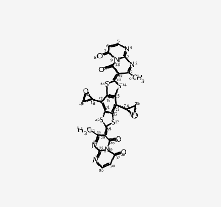 Cc1nc2nccc(=O)n2c(=O)c1=C1Sc2c(c(C3CO3)c3c(c2C2CO2)SC(=c2c(C)nc4nccc(=O)n4c2=O)S3)S1